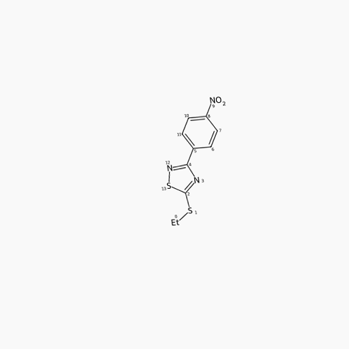 CCSc1nc(-c2ccc([N+](=O)[O-])cc2)ns1